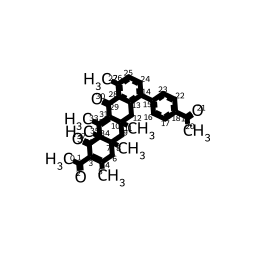 CC(=O)C1=C(C)CC2(C)CC3(C)Cc4c(-c5ccc(C(C)=O)cc5)ccc(C)c4C(=O)C3=C(C)C2(C)C1=O